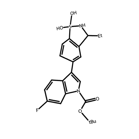 CCC1NS(O)(O)c2ccc(-c3cn(C(=O)OC(C)(C)C)c4cc(F)ccc34)cc21